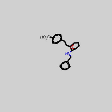 O=C(O)c1ccc(CCC2C3CCC(O3)C2NCc2ccccc2)cc1